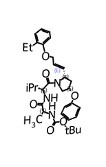 CCc1ccccc1OC/C=C/[C@@H]1C[C@H](Oc2ccccc2)CN1C(=O)[C@@H](NC(=O)[C@H](C)NC(=O)OC(C)(C)C)C(C)C